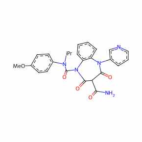 COc1ccc(N(C(=O)N2C(=O)C(C(N)=O)C(=O)N(c3cccnc3)c3ccccc32)C(C)C)cc1